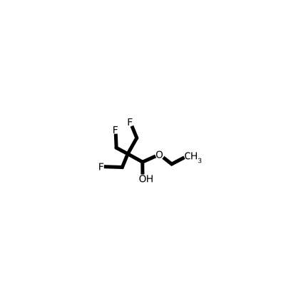 CCOC(O)C(CF)(CF)CF